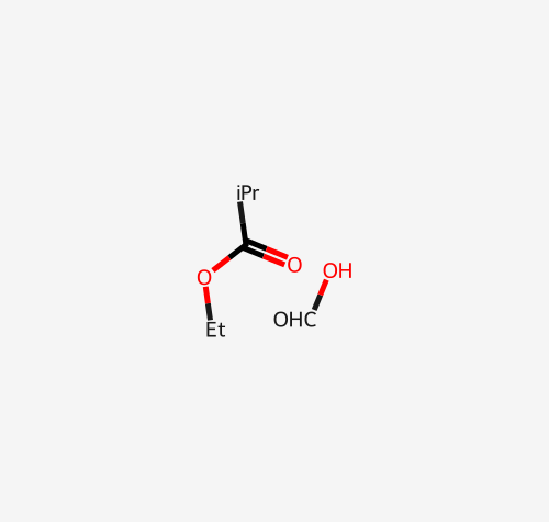 CCOC(=O)C(C)C.O=CO